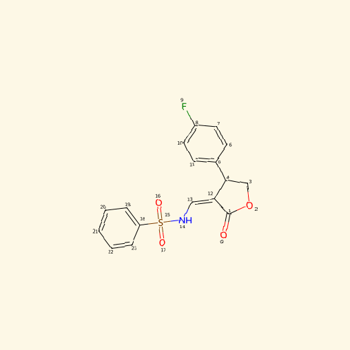 O=C1OCC(c2ccc(F)cc2)/C1=C/NS(=O)(=O)c1ccccc1